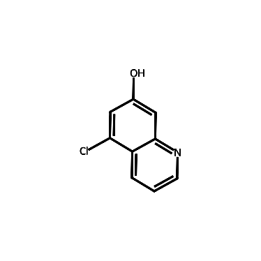 Oc1cc(Cl)c2cccnc2c1